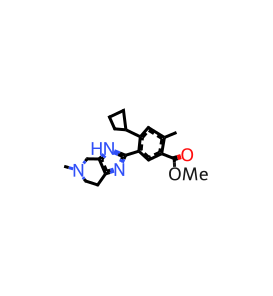 COC(=O)c1cc(-c2nc3c([nH]2)CN(C)CC3)c(C2CCC2)cc1C